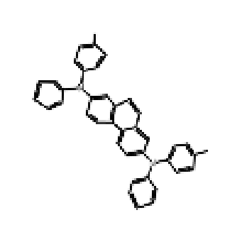 Cc1ccc(N(c2ccccc2)c2ccc3c(ccc4cc(N(c5ccccc5)c5ccc(C)cc5)ccc43)c2)cc1